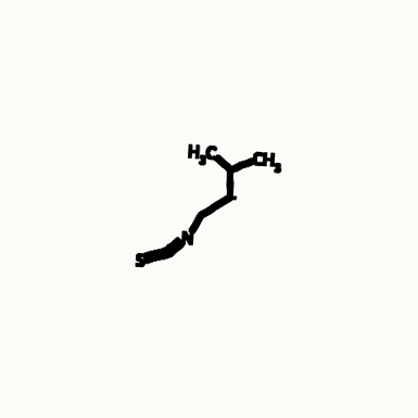 CC(C)[CH]CN=C=S